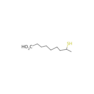 CC(S)CCCCCCC(=O)O